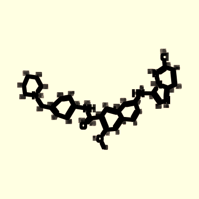 COc1cc2ccc(Nc3cnc4ccc(Cl)nn34)cc2cc1C(=O)Nc1ccc(CN2CCCCC2)cc1